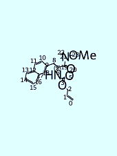 C=CCOC(=O)N[C@@H](Cc1ccc2ccccc2c1)C(=O)N(C)OC